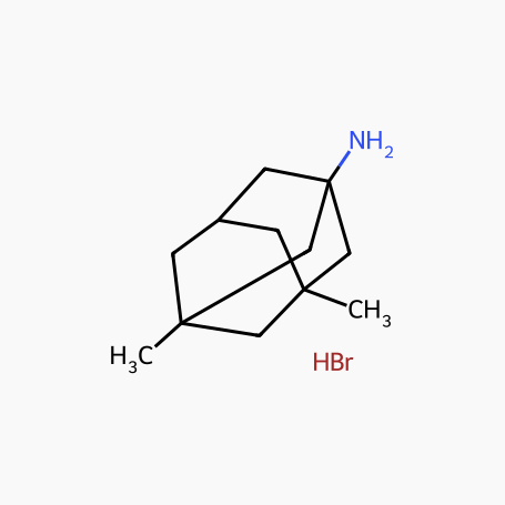 Br.CC12CC3CC(C)(C1)CC(N)(C3)C2